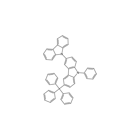 c1ccc(-n2c3ccc(-n4c5ccccc5c5ccccc54)cc3c3cc(C(c4ccccc4)(c4ccccc4)c4ccccc4)ccc32)cc1